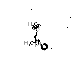 Cc1nn(-c2ccccc2)nc1CCCOS(C)(=O)=O